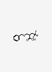 O=C(O)C(CSCc1ccccc1)CC(F)(F)F